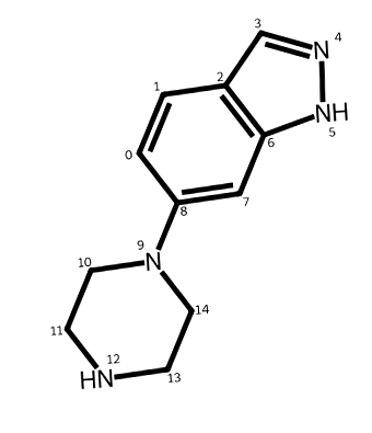 c1cc2cn[nH]c2cc1N1CCNCC1